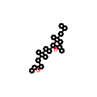 c1cc(-c2c3ccccc3c(-c3cccc4c(-c5ccc(-c6c7ccccc7c(-c7ccc(-c8cccc9ccccc89)cc7)c7ccccc67)c6c5oc5c7ccccc7ccc56)cccc34)c3ccccc23)cc(-c2cccc3oc4c5ccccc5ccc4c23)c1